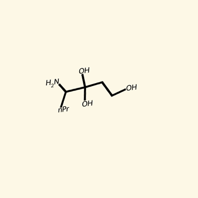 CCCC(N)C(O)(O)CCO